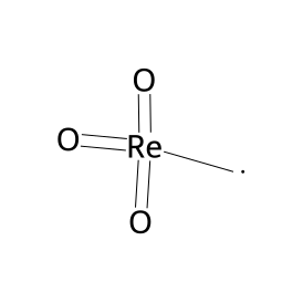 [CH2][Re](=[O])(=[O])=[O]